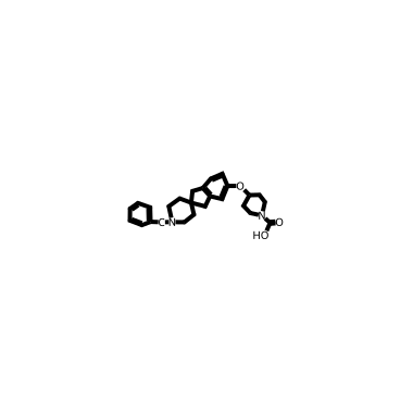 O=C(O)N1CCC(Oc2ccc3c(c2)CC2(CCN(Cc4ccccc4)CC2)C3)CC1